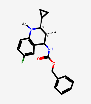 CC(=O)N1c2ccc(F)cc2C(NC(=O)OCc2ccccc2)[C@@H](C)[C@@H]1C1CC1